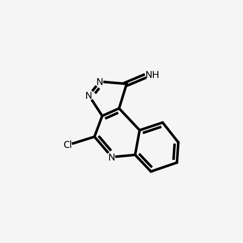 N=C1N=Nc2c(Cl)nc3ccccc3c21